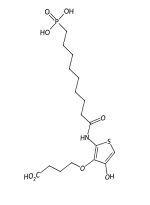 O=C(O)CCCOc1c(O)csc1NC(=O)CCCCCCCCP(=O)(O)O